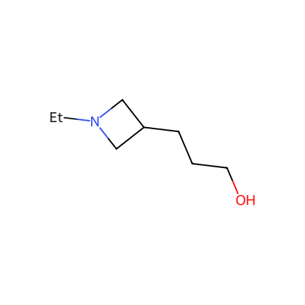 CCN1CC(CCCO)C1